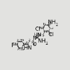 N=C(CC(=O)/N=C(\N)NCc1c(Cl)cc(N)cc1Cl)c1ccc(F)cc1